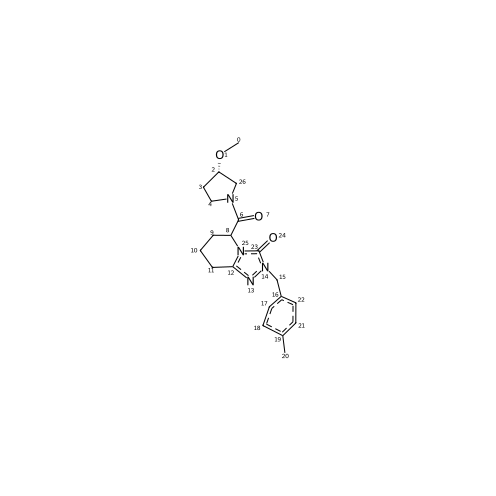 CO[C@H]1CCN(C(=O)C2CCCc3nn(Cc4ccc(C)cc4)c(=O)n32)C1